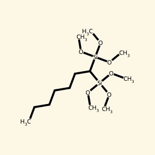 CCCCCCC([Si](OC)(OC)OC)[Si](OC)(OC)OC